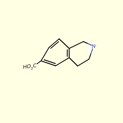 O=C(O)c1ccc2c(c1)CC[N]C2